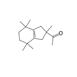 CC(=O)C1(C)CC2=C(C1)C(C)(C)CCC2(C)C